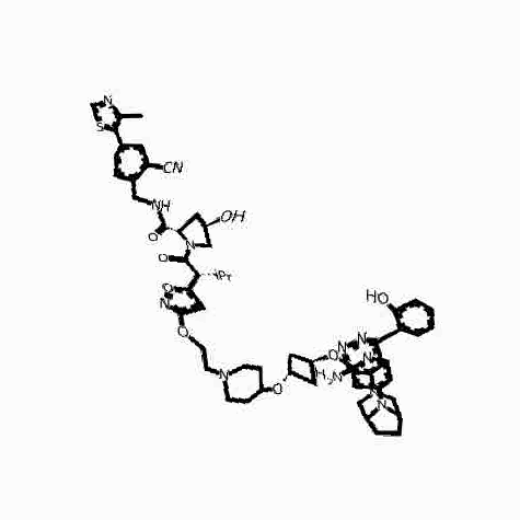 Cc1ncsc1-c1ccc(CNC(=O)[C@@H]2C[C@@H](O)CN2C(=O)[C@@H](c2cc(OCCN3CCC(O[C@H]4C[C@H](Oc5cc(N6C7CCC6CN(c6cc(-c8ccccc8O)nnc6N)C7)ccn5)C4)CC3)no2)C(C)C)c(C#N)c1